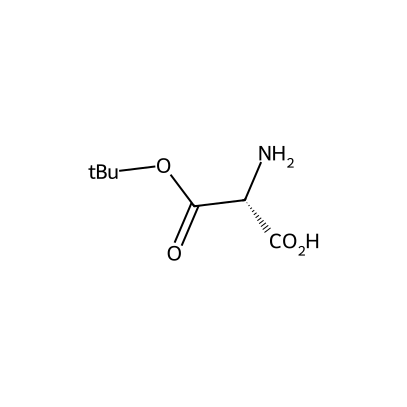 CC(C)(C)OC(=O)[C@H](N)C(=O)O